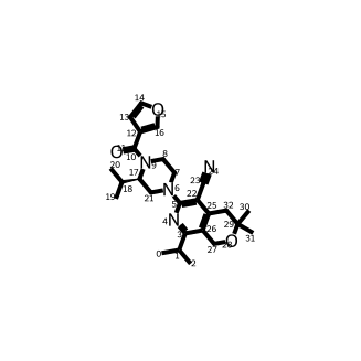 CC(C)c1nc(N2CCN(C(=O)c3ccoc3)[C@H](C(C)C)C2)c(C#N)c2c1COC(C)(C)C2